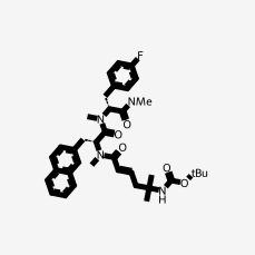 CNC(=O)[C@@H](Cc1ccc(F)cc1)N(C)C(=O)[C@@H](Cc1ccc2ccccc2c1)N(C)C(=O)C=CCC(C)(C)NC(=O)OC(C)(C)C